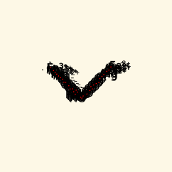 O=P([O-])([O-])[O-].O=P([O-])([O-])[O-].O=P([O-])([O-])[O-].O=P([O-])([O-])[O-].O=P([O-])([O-])[O-].O=P([O-])([O-])[O-].O=P([O-])([O-])[O-].O=P([O-])([O-])[O-].O=P([O-])([O-])[O-].[Ca+2].[Ca+2].[Ca+2].[Ca+2].[Ca+2].[F-].[F-].[F-].[F-].[F-].[F-].[F-].[F-].[F-].[Fe+3].[Fe+3].[Fe+3].[Fe+3].[Fe+3].[Mg+2].[Mg+2].[Mg+2].[Mg+2].[Mg+2].[Mn+2].[Mn+2].[Mn+2].[Mn+2].[Mn+2].[OH-].[OH-].[OH-].[OH-].[OH-].[OH-].[OH-].[OH-].[OH-]